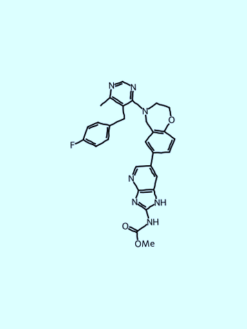 COC(=O)Nc1nc2ncc(-c3ccc4c(c3)CN(c3ncnc(C)c3Cc3ccc(F)cc3)CCO4)cc2[nH]1